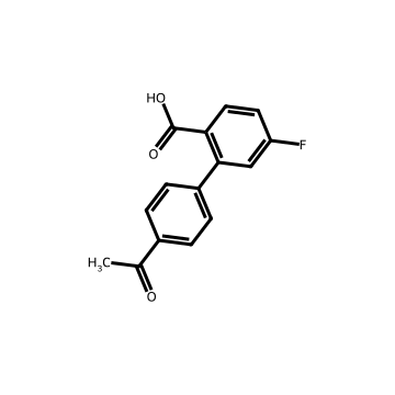 CC(=O)c1ccc(-c2cc(F)ccc2C(=O)O)cc1